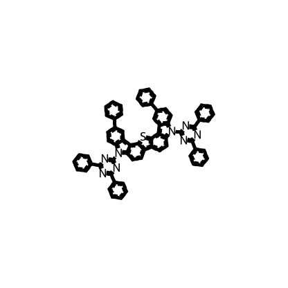 c1ccc(-c2ccc3c(c2)c2c4sc5c(ccc6c5c5cc(-c7ccccc7)ccc5n6-c5nc(-c6ccccc6)nc(-c6ccccc6)n5)c4ccc2n3-c2nc(-c3ccccc3)nc(-c3ccccc3)n2)cc1